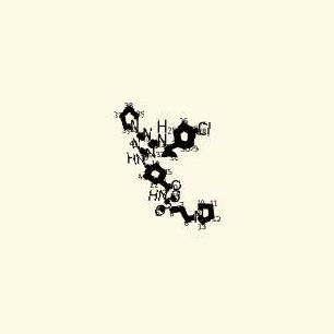 O=C(NS(=O)(=O)CCCN1CCCC1)c1ccc(Nc2nc(NC3(c4ccc(Cl)cc4)CC3)nc(N3CCCC3)n2)cc1